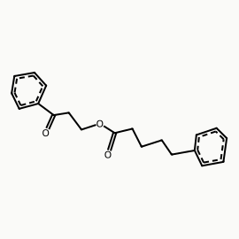 O=C(CCCCc1ccccc1)OCCC(=O)c1ccccc1